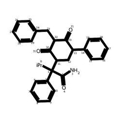 CC(C)C(C(N)=O)(c1ccccc1)C1CC(c2ccccc2)C(=O)C(Cc2ccccc2)C1=O